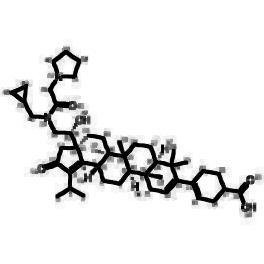 CC(C)C1=C2[C@H]3CC[C@@H]4[C@@]5(C)CC=C(C6=CCC(C(=O)O)CC6)C(C)(C)[C@@H]5CC[C@@]4(C)[C@]3(C)CC[C@@]2([C@@H](O)CN(CC2CC2)C(=O)CN2CCCC2)CC1=O